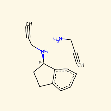 C#CCN.C#CCN[C@@H]1CCc2ccccc21